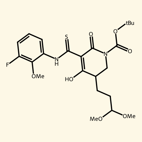 COc1c(F)cccc1NC(=S)C1=C(O)C(CCC(OC)OC)CN(C(=O)OC(C)(C)C)C1=O